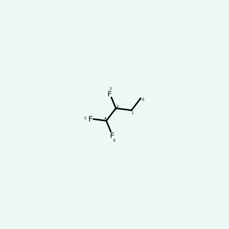 CC[C](F)C(F)F